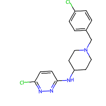 Clc1ccc(CN2CCC(Nc3ccc(Cl)nn3)CC2)cc1